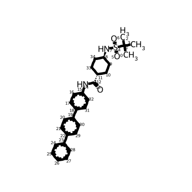 CC(C)(C)S(=O)(=O)N[C@H]1CC[C@H](C(=O)Nc2ccc(-c3ccc(-c4ccccc4)cc3)cc2)CC1